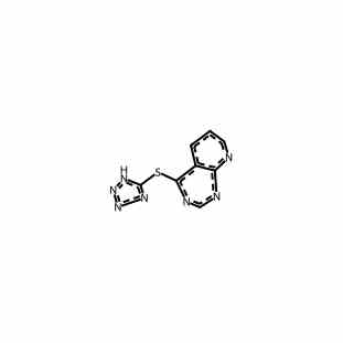 c1cnc2ncnc(Sc3nnn[nH]3)c2c1